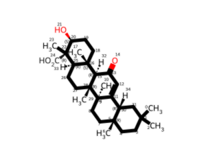 CC1(C)CC[C@]2(C)CC[C@]3(C)C(=CC(=O)[C@@H]4[C@@]5(C)CC[C@H](O)[C@](C)(C(=O)O)[C@@H]5CC[C@]43C)[C@@H]2C1